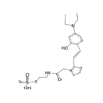 CCN(CC)c1ccc(/C=C/c2scc[n+]2CC(=O)NCCSS(=O)(=O)O)c(O)c1